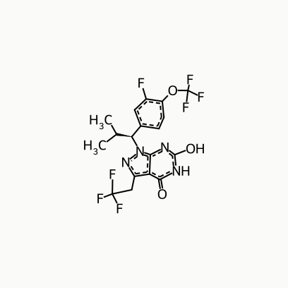 CC(C)[C@@H](c1ccc(OC(F)(F)F)c(F)c1)n1nc(CC(F)(F)F)c2c(=O)[nH]c(O)nc21